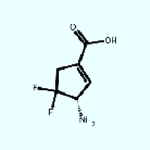 N[C@H]1C=C(C(=O)O)CC1(F)F